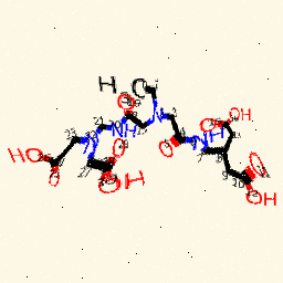 CCN(CC(=O)NCC(CC(=O)O)CC(=O)O)CC(=O)NCN(CC(=O)O)CC(=O)O